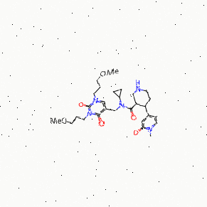 COCCCn1cc(CN(C(=O)[C@H]2CNCCC2c2ccn(C)c(=O)c2)C2CC2)c(=O)n(CCCOC)c1=O